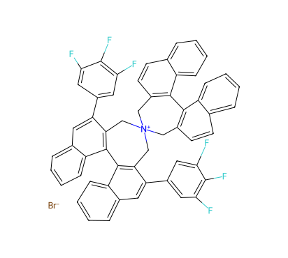 Fc1cc(-c2cc3ccccc3c3c2C[N+]2(Cc4ccc5ccccc5c4-c4c(ccc5ccccc45)C2)Cc2c(-c4cc(F)c(F)c(F)c4)cc4ccccc4c2-3)cc(F)c1F.[Br-]